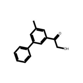 Cc1cc(C(=O)CO)cc(-c2ccccc2)c1